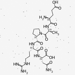 C[C@H](NC(=O)[C@@H](N)CCC(=O)O)C(=O)N1CCC[C@H]1C(=O)N[C@@H](CCCNC(=N)N)C(=O)N[C@@H](CC(N)=O)C(=O)O